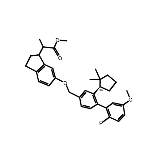 COC(=O)C(C)C1CCc2ccc(OCc3ccc(-c4cc(OC)ccc4F)c([C@@H]4CCCC4(C)C)c3)cc21